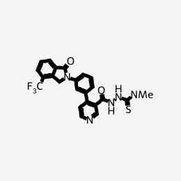 CNC(=S)NNC(=O)c1cnccc1-c1cccc(N2Cc3c(cccc3C(F)(F)F)C2=O)c1